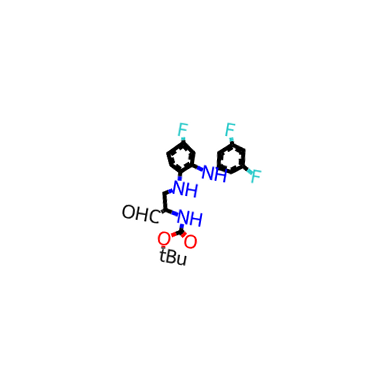 CC(C)(C)OC(=O)NC(C=O)CNc1ccc(F)cc1Nc1cc(F)cc(F)c1